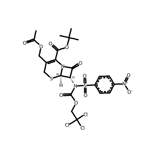 CC(=O)OCC1=C(C(=O)OC(C)(C)C)N2C(=O)[C@H](N(C(=O)OCC(Cl)(Cl)Cl)S(=O)(=O)c3ccc([N+](=O)[O-])cc3)[C@H]2SC1